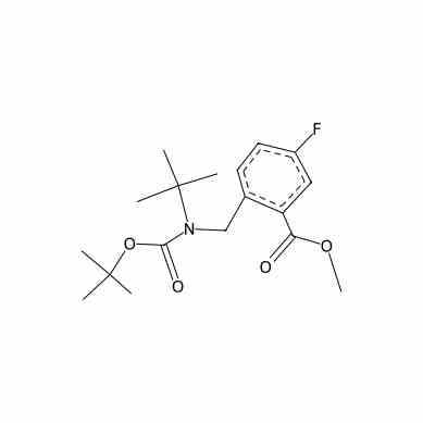 COC(=O)c1cc(F)ccc1CN(C(=O)OC(C)(C)C)C(C)(C)C